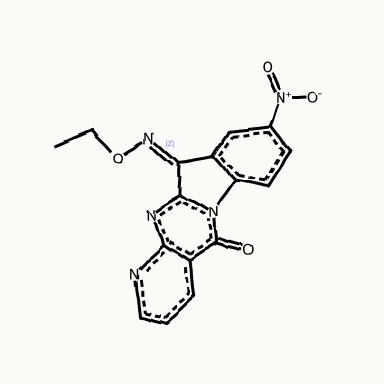 CCO/N=C1/c2cc([N+](=O)[O-])ccc2-n2c1nc1ncccc1c2=O